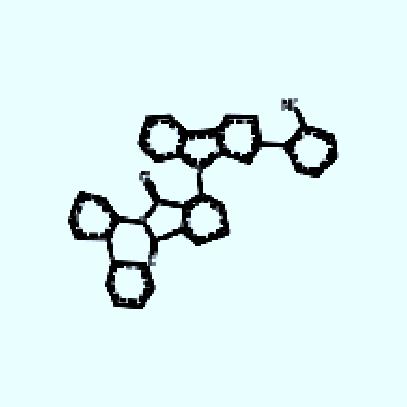 N#Cc1ccccc1-c1ccc2c3ccccc3n(-c3cccc4c3C(=O)N(c3ccccc3-c3ccccc3)C4=O)c2c1